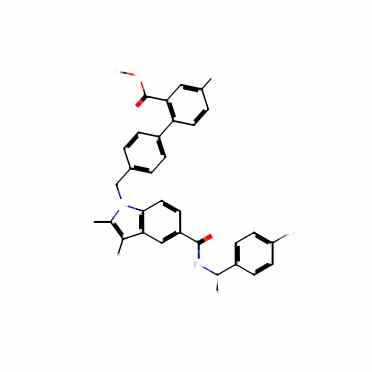 Cc1ccc(-c2ccc(Cn3c(C)c(C)c4cc(C(=O)N[C@H](C)c5ccc(Br)cc5)ccc43)cc2)c(C(=O)OC(C)(C)C)c1